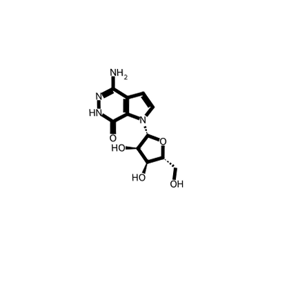 Nc1n[nH]c(=O)c2c1ccn2[C@@H]1O[C@H](CO)[C@@H](O)[C@H]1O